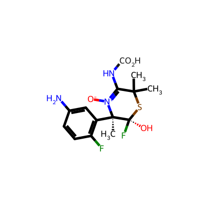 CC1(C)S[C@@](O)(F)[C@@](C)(c2cc(N)ccc2F)[N+]([O-])=C1NC(=O)O